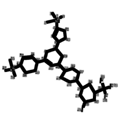 C[Si](C)(C)C1=CC(C2CC(C3C=CC([Si](C)(C)C)CC3)=CC(C3CCC(C4CC(I)CC(C(F)(F)F)C4)CC3)C2)CC1